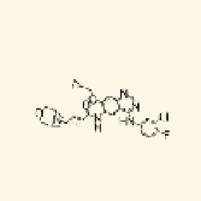 O=C(/C=C/CN1C2CCC1COC2)Nc1cc2c(Nc3ccc(F)c(Cl)c3)ncnc2cc1OCC1CC1